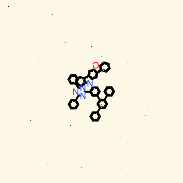 c1ccc(-c2ccc(-c3ccccc3)c(-c3ccc(-n4c5ccccc5c5cc6oc7ccccc7c6cc54)c(-c4nc(-c5ccccc5)nc(-c5ccccc5)n4)c3)c2)cc1